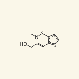 CN1Sc2ccsc2C=C1CO